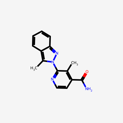 Cc1c(C(N)=O)ccnc1-n1nc2ccccc2c1C